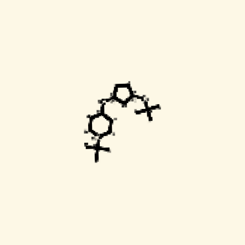 CC(C)(C)O[C@@H]1CC[C@H](OC2CCN(C(C)(C)C)CC2)C1